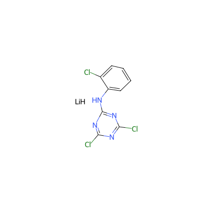 Clc1nc(Cl)nc(Nc2ccccc2Cl)n1.[LiH]